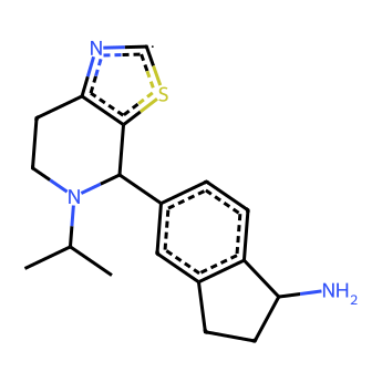 CC(C)N1CCc2n[c]sc2C1c1ccc2c(c1)CCC2N